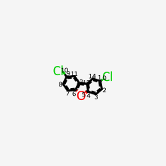 Clc1ccc2oc3ccc(Cl)cc3c2c1